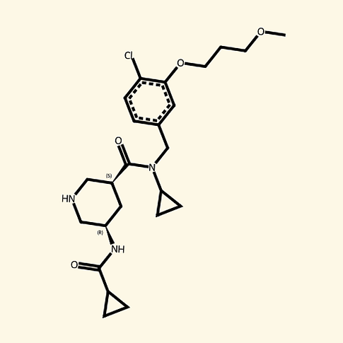 COCCCOc1cc(CN(C(=O)[C@@H]2CNC[C@H](NC(=O)C3CC3)C2)C2CC2)ccc1Cl